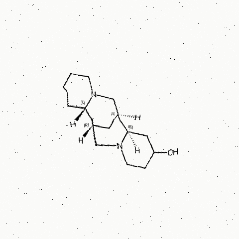 OC1CCN2C[C@H]3C[C@@H](CN4CCCC[C@@H]34)[C@H]2C1